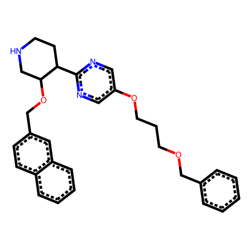 c1ccc(COCCCOc2cnc(C3CCNCC3OCc3ccc4ccccc4c3)nc2)cc1